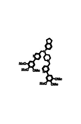 COc1cc(-c2ccc(CN(c3ccc4c(c3)CCC4)C3CCN(Cc4ccnc(-c5cc(OC)c(OC)c(OC)c5)c4)CC3)cn2)cc(OC)c1OC